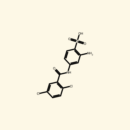 Nc1cc(NC(=O)c2cc(Cl)ccc2Cl)ccc1S(=O)(=O)O